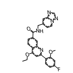 CCOc1cc(-c2ccc(F)cc2OC)nc2cc(C(=O)NCc3ccn4ncnc4c3)ccc12